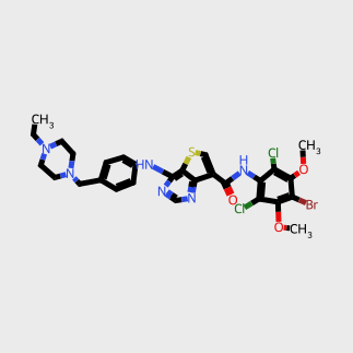 CCN1CCN(Cc2ccc(Nc3ncnc4c(C(=O)Nc5c(Cl)c(OC)c(Br)c(OC)c5Cl)csc34)cc2)CC1